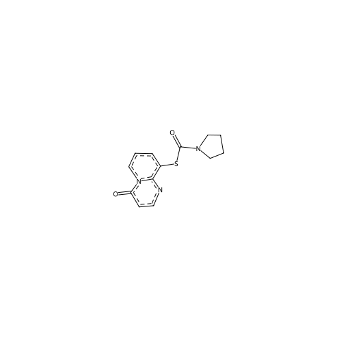 O=C(Sc1cccn2c(=O)ccnc12)N1CCCC1